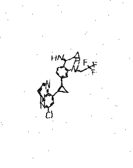 N=C(c1ccc(C2CC2c2cc(Cl)nn3ccnc23)cc1NCC(F)(F)F)C1CC1